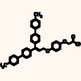 Cc1ccc(-c2ccc(C(=CCOc3ccc(OCC(=O)O)cc3)c3ccc(-c4ccc(C)cc4)cc3)cc2)cc1